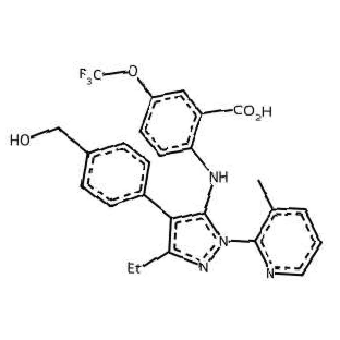 CCc1nn(-c2ncccc2C)c(Nc2ccc(OC(F)(F)F)cc2C(=O)O)c1-c1ccc(CO)cc1